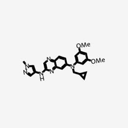 COc1cc(OC)cc(N(CC2CC2)c2ccc3ncc(Nc4cnn(C)c4)nc3c2)c1